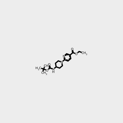 CCOC(=O)c1ccc(N2CCC(NC(=O)OC(C)(C)C)CC2)nc1